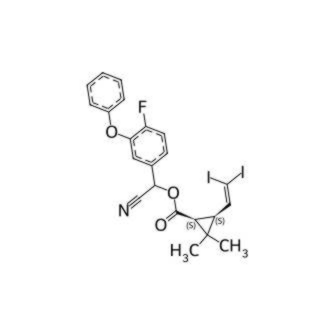 CC1(C)[C@H](C=C(I)I)[C@@H]1C(=O)OC(C#N)c1ccc(F)c(Oc2ccccc2)c1